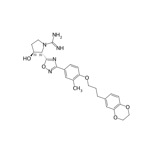 Cc1cc(-c2noc([C@@H]3[C@@H](O)CCN3C(=N)N)n2)ccc1OCCCc1ccc2c(c1)OCCO2